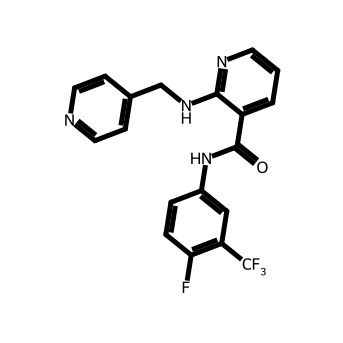 O=C(Nc1ccc(F)c(C(F)(F)F)c1)c1cccnc1NCc1ccncc1